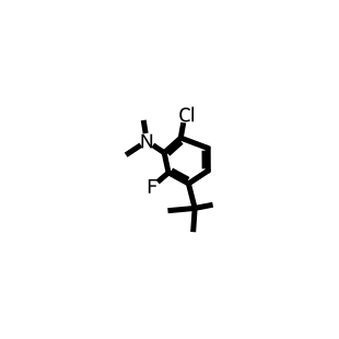 CN(C)c1c(Cl)ccc(C(C)(C)C)c1F